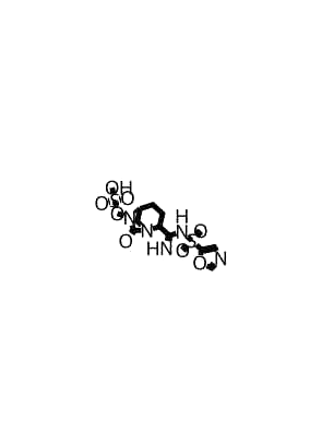 N=C(NS(=O)(=O)c1cnco1)C1CCC2CN1C(=O)N2OS(=O)(=O)O